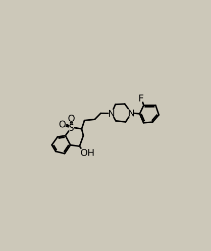 O=S1(=O)c2ccccc2C(O)CC1CCCN1CCN(c2ccccc2F)CC1